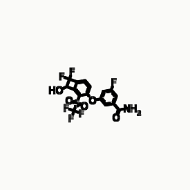 NC(=O)c1cc(F)cc(OC2=C=C=C3C(=C2S(=O)(=O)C(F)(F)F)C(O)C3(F)F)c1